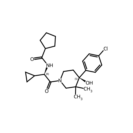 CC1(C)CN(C(=O)[C@H](NC(=O)C2CCCC2)C2CC2)CC[C@]1(O)c1ccc(Cl)cc1